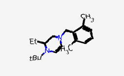 CCC1CN(Cc2c(C)cccc2C)C=CN1C(C)(C)C